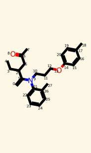 C=C(C(CC)CC(C)=O)N(CCCOc1ccc(C)cc1)c1ccccc1C